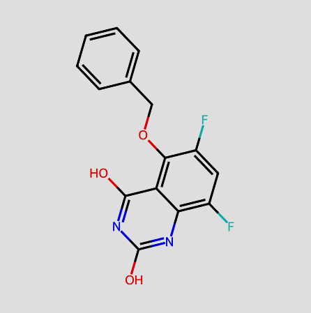 Oc1nc(O)c2c(OCc3ccccc3)c(F)cc(F)c2n1